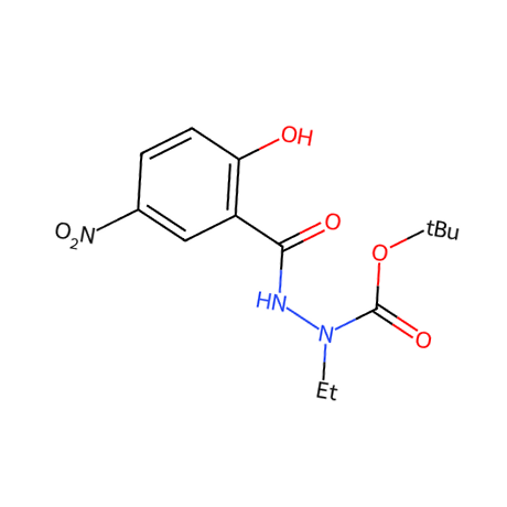 CCN(NC(=O)c1cc([N+](=O)[O-])ccc1O)C(=O)OC(C)(C)C